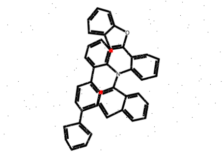 c1ccc(-c2ccc(-c3ccccc3N(c3ccccc3-c3cc4ccccc4o3)c3cccc4ccccc34)cc2)cc1